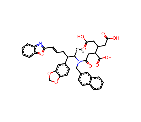 CC(C(C/C=C/c1nc2ccccc2o1)c1ccc2c(c1)OCO2)N(Cc1ccc2ccccc2c1)C(=O)CC(C(=O)O)C(CC(=O)O)CC(=O)O